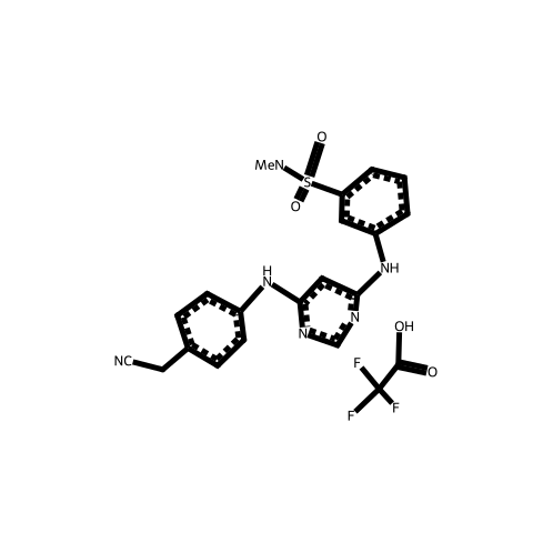 CNS(=O)(=O)c1cccc(Nc2cc(Nc3ccc(CC#N)cc3)ncn2)c1.O=C(O)C(F)(F)F